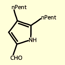 CCCCCc1cc(C=O)[nH]c1CCCCC